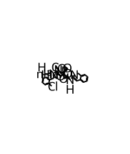 CCCCCC[P@](=O)(OC(=O)Nc1cc2ccccc2cn1)ON(C)C(=O)NCc1ccccc1Cl